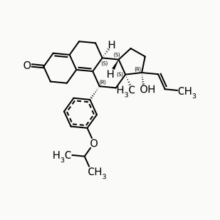 CC=C[C@]1(O)CC[C@H]2[C@@H]3CCC4=CC(=O)CCC4=C3[C@@H](c3cccc(OC(C)C)c3)C[C@@]21C